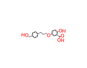 O=C(O)c1cc(OCCCc2ccc(CO)cc2)ccc1O